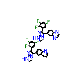 Fc1cc(F)c(F)c(-c2nc3n(c2-c2ccc4ncccc4c2)CCN3)c1.Fc1cc(F)c(F)c(-c2nc3n(c2-c2ccc4nccnc4c2)CCN3)c1